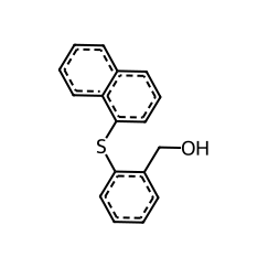 OCc1ccccc1Sc1cccc2ccccc12